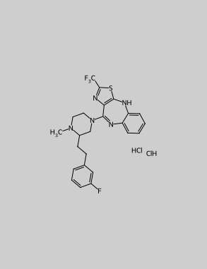 CN1CCN(C2=Nc3ccccc3Nc3sc(C(F)(F)F)nc32)CC1CCc1cccc(F)c1.Cl.Cl